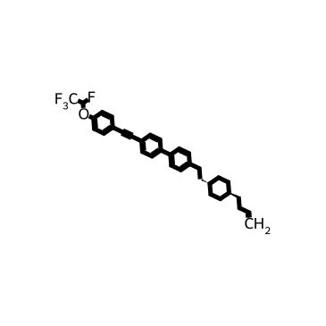 C=CCC[C@H]1CC[C@H](CCc2ccc(-c3ccc(C#Cc4ccc(OC(F)C(F)(F)F)cc4)cc3)cc2)CC1